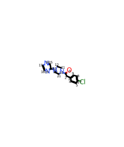 O=C(Cc1ccc(Cl)cc1)N1CCN(c2cnccn2)CC1